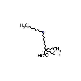 CCCCCCCC/C=C\CCCCCCCC([CH]C(=O)O)(CCCC)CCCC